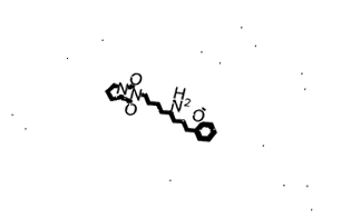 COc1ccccc1CCCC(N)CCCCN1C(=O)C2CCCN2C1=O